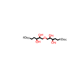 CCCCCCCCCCCCC(O)C(O)COCC(O)C(O)CCCCCCCCCCCC